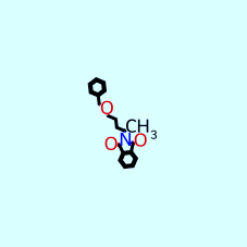 CC(CCCOCc1ccccc1)N1C(=O)c2ccccc2C1=O